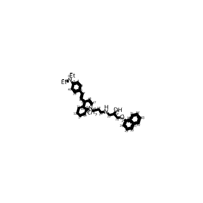 CCN(CC)c1ccc(C=CC2=C3C=CC=CC3(C)N(CCCNCC(O)COc3cccc4ccccc34)C=C2)cc1